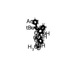 CC(=O)c1cccc(CNC2(CCC(C)(C)C)C(=O)C(C3=NS(=O)(=O)c4cc(NS(C)(=O)=O)ccc4N3)=C(O)c3ccccc32)c1